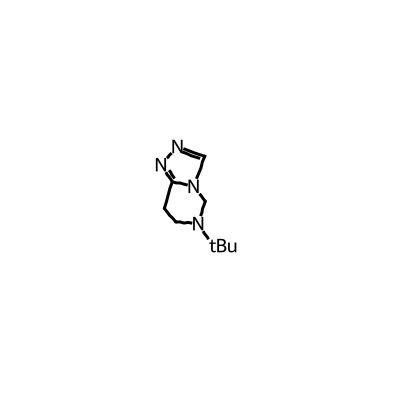 CC(C)(C)N1CCc2nncn2C1